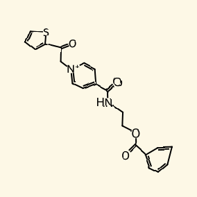 O=C(NCCOC(=O)c1ccccc1)c1cc[n+](CC(=O)c2cccs2)cc1